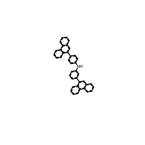 c1cc(Nc2ccc(-c3cc4ccccc4c4ccccc34)cc2)cc(-c2cc3ccccc3c3ccccc23)c1